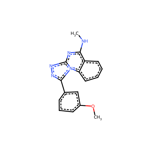 CNc1nc2nnc(-c3cccc(OC)c3)n2c2ccccc12